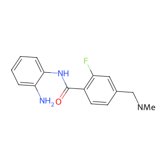 CNCc1ccc(C(=O)Nc2ccccc2N)c(F)c1